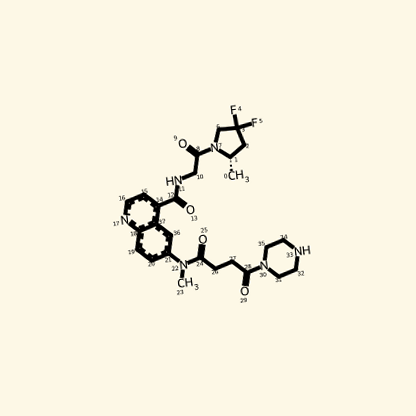 C[C@H]1CC(F)(F)CN1C(=O)CNC(=O)c1ccnc2ccc(N(C)C(=O)CCC(=O)N3CCNCC3)cc12